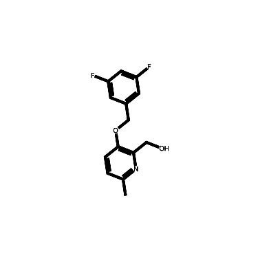 Cc1ccc(OCc2cc(F)cc(F)c2)c(CO)n1